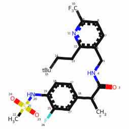 CC(C(=O)NCc1ccc(C(F)(F)F)nc1CCC(C)(C)C)c1ccc(NS(C)(=O)=O)c(F)c1